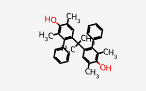 Cc1cc(C(C)(C)c2cc(C)c(O)c(C)c2-c2ccccc2)c(-c2ccccc2)c(C)c1O